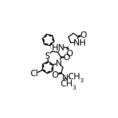 CN(C)C(=O)CN1C(=O)[C@H](NC(=O)[C@@H]2CCC(=O)N2)[C@@H](c2ccccc2)Sc2cc(Cl)ccc21